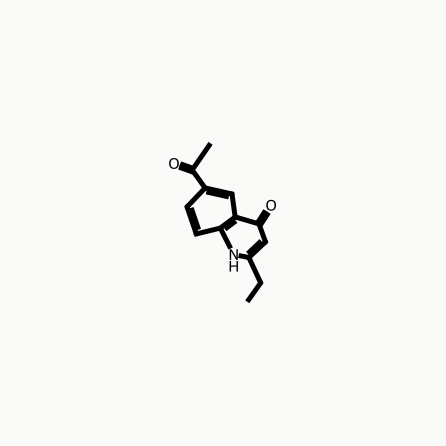 CCc1cc(=O)c2cc(C(C)=O)ccc2[nH]1